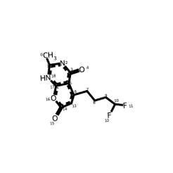 Cc1nc(=O)c2c(CCCC(F)F)cc(=O)oc2[nH]1